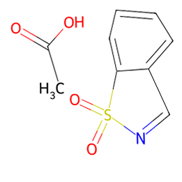 CC(=O)O.O=S1(=O)N=Cc2ccccc21